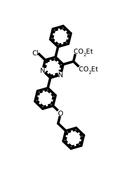 CCOC(=O)C(C(=O)OCC)c1nc(-c2cccc(OCc3ccccc3)c2)nc(Cl)c1-c1ccccc1